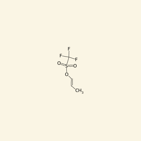 CC=COS(=O)(=O)C(F)(F)F